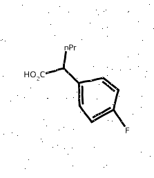 CCCC(C(=O)O)c1ccc(F)cc1